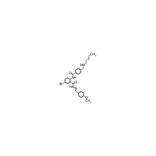 CCSCCNCc1ccc(C(=O)Nc2ccc(Br)cc2C(=O)N/N=C/c2ccc(OC)cc2)cc1